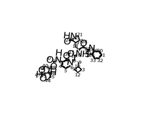 O=C(Nc1cccn([C@@H](CC2CCC2)C(=O)N[C@@H](C[C@@H]2CCNC2=O)C(=O)c2nc3ccccc3s2)c1=O)O[C@H]1CO[C@H]2OCC[C@H]21